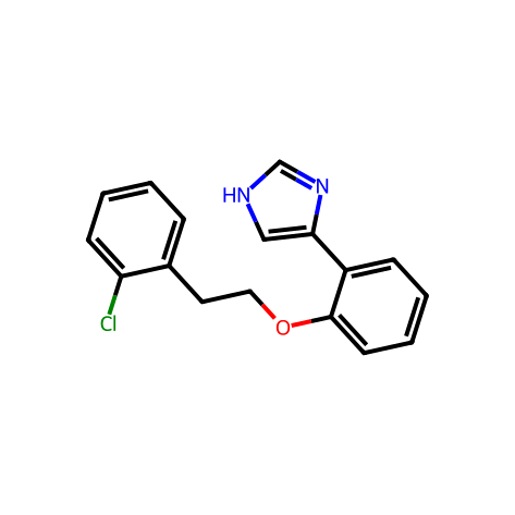 Clc1ccccc1CCOc1ccccc1-c1c[nH]cn1